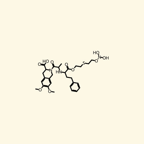 COc1cc2c(cc1OC)CN(C(=O)C(C)NC(CCc1ccccc1)C(=O)OCCSCCON(O)O)C(C(=O)O)C2